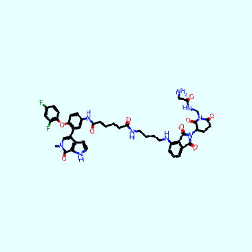 Cn1cc(-c2cc(NC(=O)CCCCC(=O)NCCCCNc3cccc4c3C(=O)N(C3CCC(=O)N(CNC(=O)CN)C3=O)C4=O)ccc2Oc2ccc(F)cc2F)c2cc[nH]c2c1=O